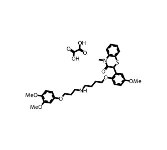 COc1ccc(OCCCCNCCCOc2ccc(OC)c(OC)c2)c(C2Sc3ccccc3N(C)C2=O)c1.O=C(O)C(=O)O